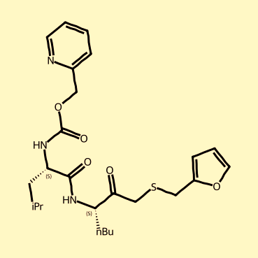 CCCC[C@H](NC(=O)[C@H](CC(C)C)NC(=O)OCc1ccccn1)C(=O)CSCc1ccco1